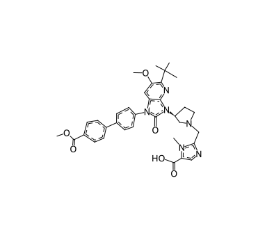 COC(=O)c1ccc(-c2ccc(-n3c(=O)n([C@H]4CCN(Cc5ncc(C(=O)O)n5C)C4)c4nc(C(C)(C)C)c(OC)cc43)cc2)cc1